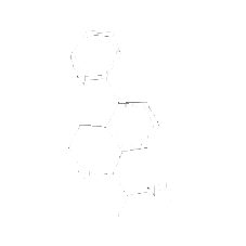 CC(N)C1OCCc2c(-c3ccccn3)cccc21